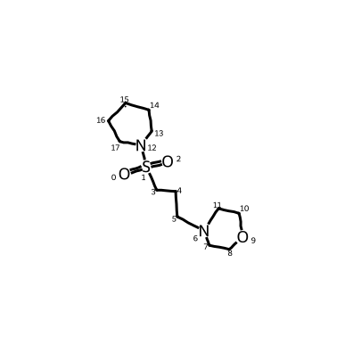 O=S(=O)(CCCN1CCOCC1)N1CC[CH]CC1